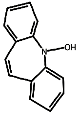 ON1c2ccccc2C=Cc2ccccc21